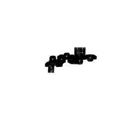 CCNC(=O)n1ccc2cc(Oc3ccnc(NC(=O)NCCOCC)c3)ccc21